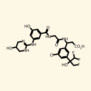 O=C(O)CC(NC(=O)CNC(=O)c1cc(O)cc(NC2=NCC(O)CN2)c1)c1cc(Cl)cc(C(O)(CF)C(F)F)c1